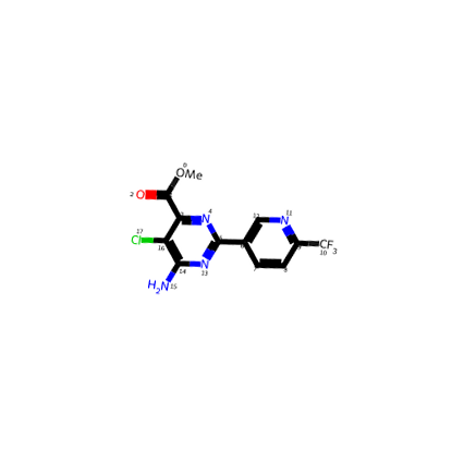 COC(=O)c1nc(-c2ccc(C(F)(F)F)nc2)nc(N)c1Cl